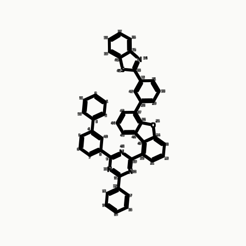 c1ccc(-c2cccc(-c3nc(-c4ccccc4)nc(-c4cccc5oc6c(-c7cccc(-c8nc9ccccc9s8)c7)cccc6c45)n3)c2)cc1